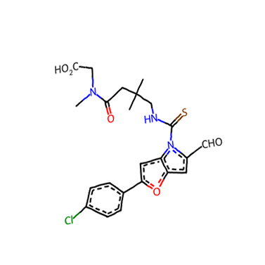 CN(CC(=O)O)C(=O)CC(C)(C)CNC(=S)n1c(C=O)cc2oc(-c3ccc(Cl)cc3)cc21